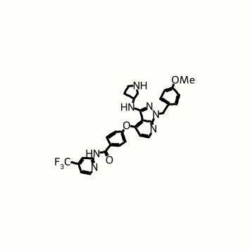 COc1ccc(Cn2nc(NC3CCNC3)c3c(Oc4ccc(C(=O)Nc5cc(C(F)(F)F)ccn5)cc4)ccnc32)cc1